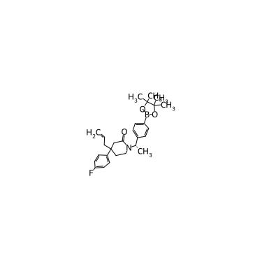 C=CCC1(c2ccc(F)cc2)CCN([C@@H](C)c2ccc(B3OC(C)(C)C(C)(C)O3)cc2)C(=O)C1